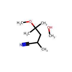 CO.COC(C)(C)CC(C)C#N